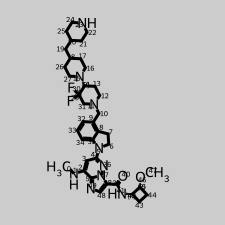 CNc1cc(N2CCc3c(CN4CC[C@@H](N5CCC(CC6CCNCC6)CC5)C(F)(F)C4)cccc32)nn2c(C(=O)N[C@@H]3CC[C@H]3OC)cnc12